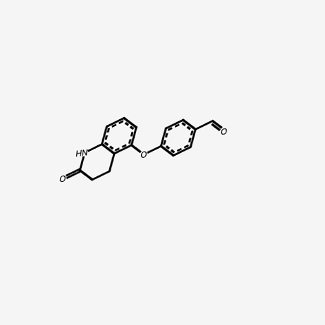 O=Cc1ccc(Oc2cccc3c2CCC(=O)N3)cc1